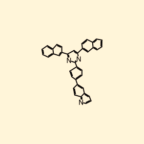 c1ccc2cc(-c3cc(-c4ccc5ccccc5c4)nc(-c4ccc(-c5ccc6ncccc6c5)cc4)n3)ccc2c1